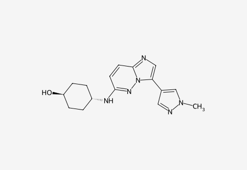 Cn1cc(-c2cnc3ccc(N[C@H]4CC[C@H](O)CC4)nn23)cn1